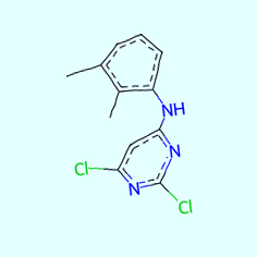 Cc1cccc(Nc2cc(Cl)nc(Cl)n2)c1C